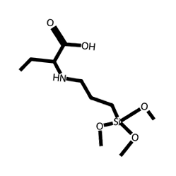 CCC(NCCC[Si](OC)(OC)OC)C(=O)O